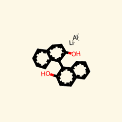 Oc1ccc2ccccc2c1-c1c(O)ccc2ccccc12.[Al].[Li]